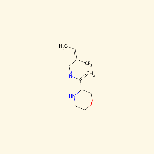 C=C(/N=C\C(=C/C)C(F)(F)F)[C@@H]1COCCN1